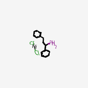 PC(CCc1ccccc1)c1ccccc1.[Cl][Ni][Cl]